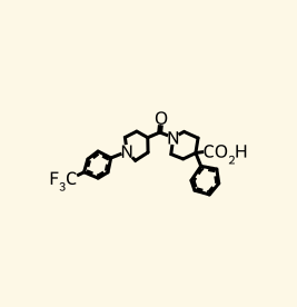 O=C(C1CCN(c2ccc(C(F)(F)F)cc2)CC1)N1CCC(C(=O)O)(c2ccccc2)CC1